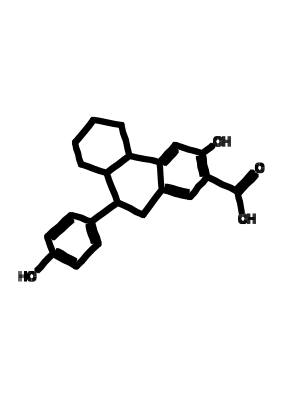 O=C(O)c1cc2c(cc1O)C1CCCCC1C(c1ccc(O)cc1)C2